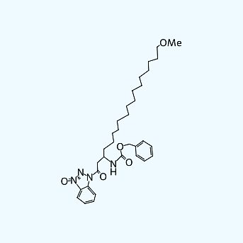 COCCCCCCCCCCCCCCCC(CC(=O)n1n[n+]([O-])c2ccccc21)NC(=O)OCc1ccccc1